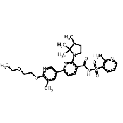 CCOCCOc1ncc(-c2ccc(C(=O)NS(=O)(=O)c3cccnc3N)c(N3CCC(C)C3(C)C)n2)cc1C